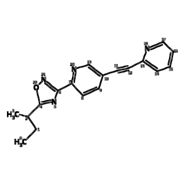 CCC(C)c1nc(-c2ccc(C#Cc3ccccn3)cn2)no1